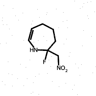 O=[N+]([O-])CC1(F)CCCC=CN1